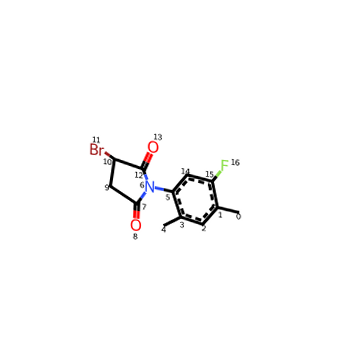 Cc1cc(C)c(N2C(=O)CC(Br)C2=O)cc1F